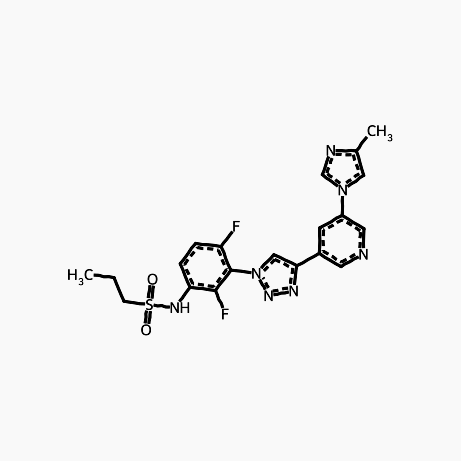 CCCS(=O)(=O)Nc1ccc(F)c(-n2cc(-c3cncc(-n4cnc(C)c4)c3)nn2)c1F